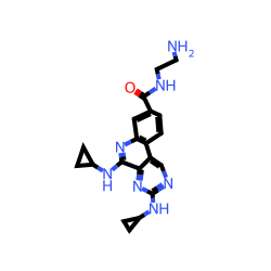 NCCNC(=O)c1ccc2c(c1)nc(NC1CC1)c1nc(NC3CC3)ncc12